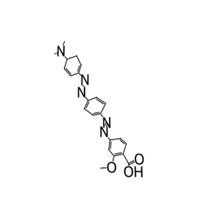 COc1cc(N=Nc2ccc(N=NC3=CCC(N(C)C)C=C3)cc2)ccc1C(=O)O